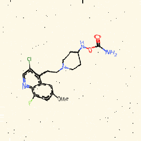 COc1cc(F)c2ncc(Cl)c(CCN3CCC(NOC(N)=O)CC3)c2c1